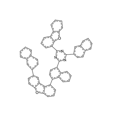 c1ccc2cc(-c3ccc4oc5cccc(-c6ccc(-c7nc(-c8ccc9ccccc9c8)nc(-c8cccc9c8oc8ccccc89)n7)c7ccccc67)c5c4c3)ccc2c1